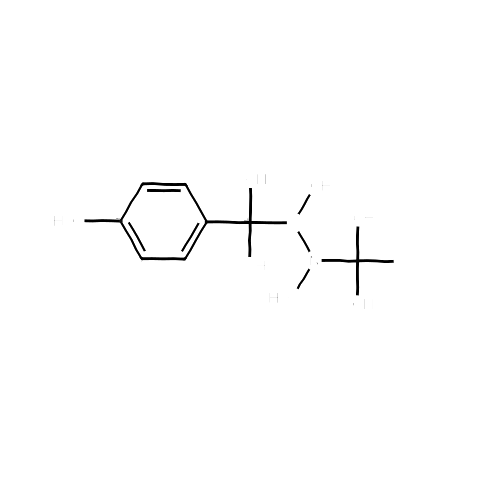 Cc1ccc(C(C)(C)P(C)N(C)C(C)(C)C)cc1